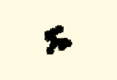 CC1(C)c2cc(N(c3ccc(-c4ccccc4)cc3)c3ccc(-c4ccc5ccccc5c4-c4ccccc4)cc3)ccc2-c2c(-c3ccc(-c4ccccc4)cc3)cccc21